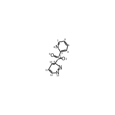 O=S(=O)(c1ccccn1)c1cccnn1